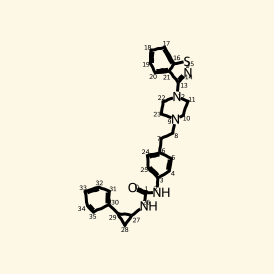 O=C(Nc1ccc(CCN2CCN(c3nsc4ccccc34)CC2)cc1)NC1CC1c1ccccc1